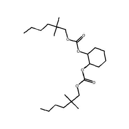 CCCCC(C)(C)COC(=O)OC1CCCCC1OC(=O)OCC(C)(C)CCCC